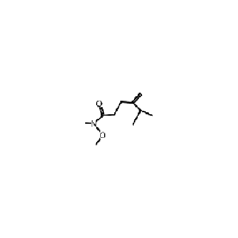 C=C(CCC(=O)N(C)OC)C(C)C